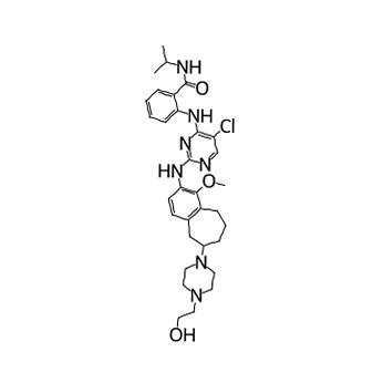 COc1c(Nc2ncc(Cl)c(Nc3ccccc3C(=O)NC(C)C)n2)ccc2c1CCCC(N1CCN(CCO)CC1)C2